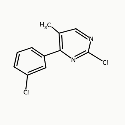 Cc1cnc(Cl)nc1-c1cccc(Cl)c1